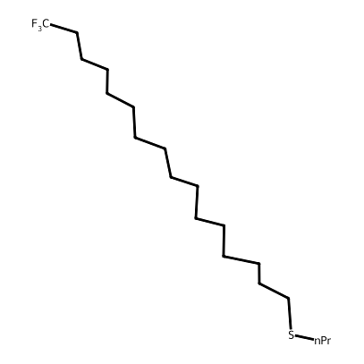 CCCSCCCCCCCCCCCCCCCC(F)(F)F